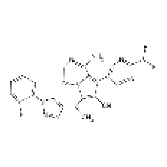 CC(c1cnn(-c2ccccc2F)c1)c1c(C#N)c(-c2cnc(C(F)F)nc2)c2c(N)ncnn12